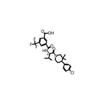 CC(C)[C@@H](NC(=O)c1cc(C(=O)O)cc(C(F)(F)F)c1)C(=O)N1CCC(c2ccc(Cl)cc2)C(C)(C)C1